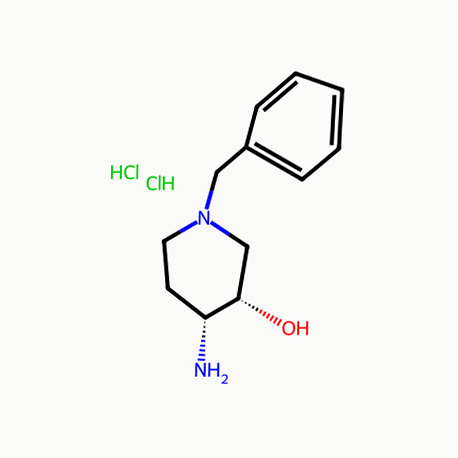 Cl.Cl.N[C@@H]1CCN(Cc2ccccc2)C[C@@H]1O